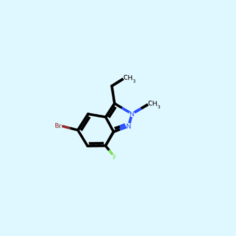 CCc1c2cc(Br)cc(F)c2nn1C